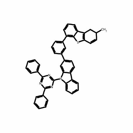 CC1C=Cc2sc3c(-c4cccc(-c5ccc6c7ccccc7n(-c7nc(-c8ccccc8)nc(-c8ccccc8)n7)c6c5)c4)cccc3c2C1